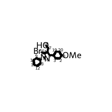 COc1ccc(-c2nn(-c3ccccc3)c(Br)c2CO)cc1